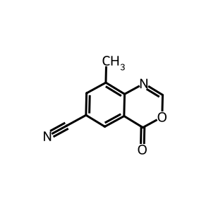 Cc1cc(C#N)cc2c(=O)ocnc12